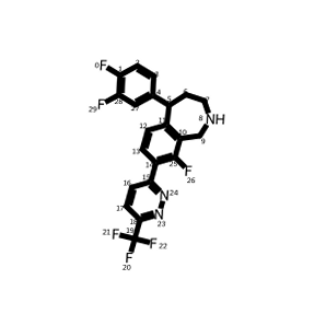 Fc1ccc(C2CCNCc3c2ccc(-c2ccc(C(F)(F)F)nn2)c3F)cc1F